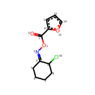 O=C(ON=C1CCCCC1Cl)c1ccco1